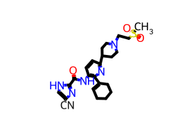 CS(=O)(=O)CCN1CCC(c2ccc(NC(=O)c3nc(C#N)c[nH]3)c(C3=CCCCC3)n2)CC1